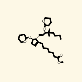 CCCCC(C)(C)[C@@H](C=C[C@@H]1C(CCCCCCC(=O)OC)=CC[C@H]1OC1CCCCO1)OC1CCCCO1